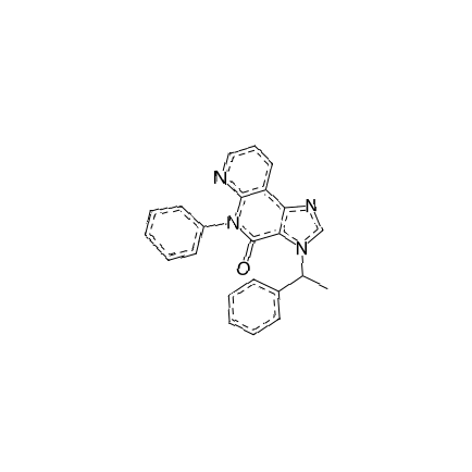 CC(c1ccccc1)n1cnc2c3cccnc3n(-c3ccccc3)c(=O)c21